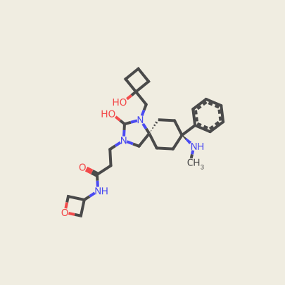 CN[C@]1(c2ccccc2)CC[C@]2(CC1)CN(CCC(=O)NC1COC1)C(O)N2CC1(O)CCC1